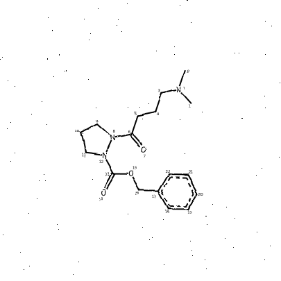 CN(C)CCCC(=O)N1CCCN1C(=O)OCc1ccccc1